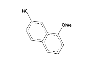 COc1cccc2ccc(C#N)cc12